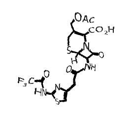 CC(=O)OCC1=C(C(=O)O)N2C(=O)C(NC(=O)Cc3csc(NC(=O)C(F)(F)F)n3)[C@@H]2SC1